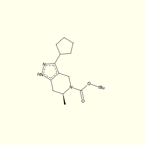 C[C@H]1Cc2[nH]nc(C3CCCC3)c2CN1C(=O)OC(C)(C)C